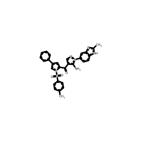 Cc1ccc(S(=O)(=O)n2cc(-c3ccccc3)cc2C(=O)c2cnn(-c3ccc4[nH]c(C)nc4c3)c2N)cc1